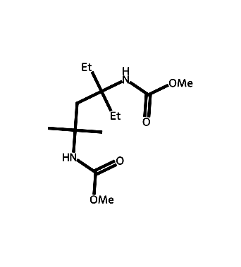 CCC(CC)(CC(C)(C)NC(=O)OC)NC(=O)OC